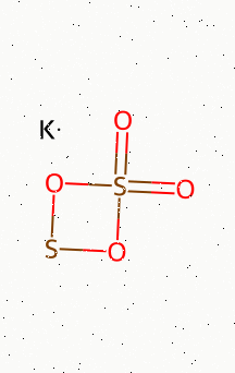 O=S1(=O)OSO1.[K]